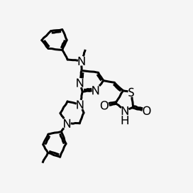 Cc1ccc(N2CCN(c3nc(C=C4SC(=O)NC4=O)cc(N(C)Cc4ccccc4)n3)CC2)cc1